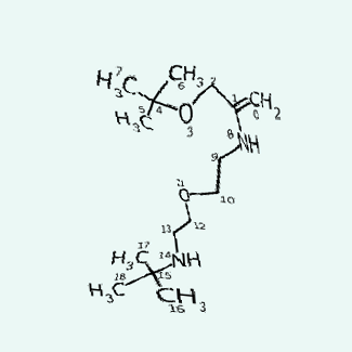 C=C(COC(C)(C)C)NCCOCCNC(C)(C)C